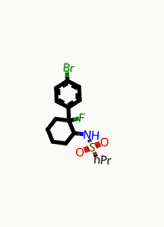 CCCS(=O)(=O)NC1CCCCC1(F)c1ccc(Br)cc1